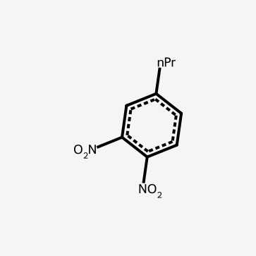 [CH2]CCc1ccc([N+](=O)[O-])c([N+](=O)[O-])c1